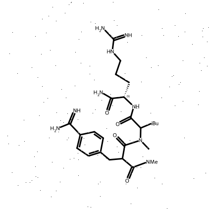 CCC(C)C(C(=O)N[C@@H](CCCNC(=N)N)C(N)=O)N(C)C(=O)C(Cc1ccc(C(=N)N)cc1)C(=O)NC